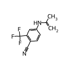 C=C(C)Nc1ccc(C#N)c(C(F)(F)F)c1